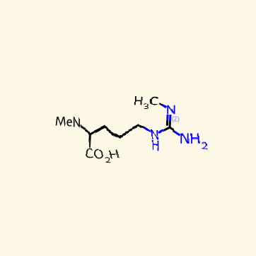 C/N=C(/N)NCCCC(NC)C(=O)O